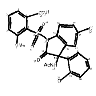 COc1cccc(C(=O)O)c1S(=O)(=O)N1C(=O)C(NC(C)=O)(c2ccccc2Cl)c2cc(Cl)ccc21